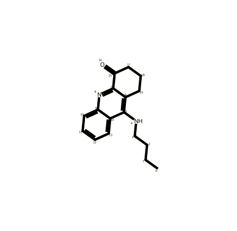 CCCCNc1c2c(nc3ccccc13)C(=O)CCC2